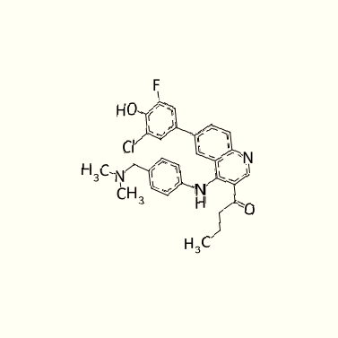 CCCC(=O)c1cnc2ccc(-c3cc(F)c(O)c(Cl)c3)cc2c1Nc1ccc(CN(C)C)cc1